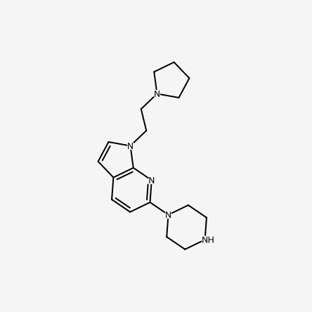 c1cc2ccn(CCN3CCCC3)c2nc1N1CCNCC1